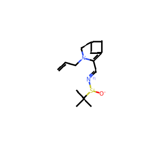 C=CCN1CC2CC(=C1/C=N/[S+]([O-])C(C)(C)C)C2